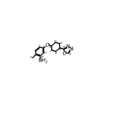 Cc1ccc(OC2CCC(c3nnco3)CC2)cc1N